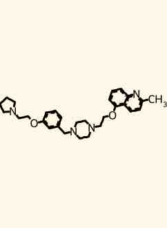 Cc1ccc2c(OCCN3CCN(Cc4cccc(OCCN5CCCC5)c4)CC3)cccc2n1